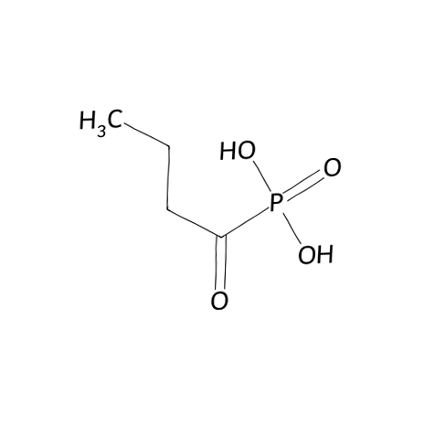 CCCC(=O)P(=O)(O)O